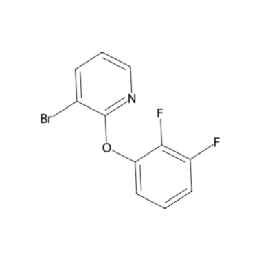 Fc1cccc(Oc2ncccc2Br)c1F